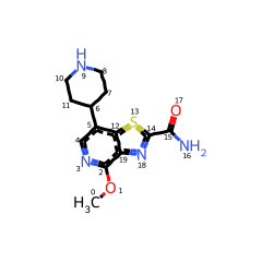 COc1ncc(C2CCNCC2)c2sc(C(N)=O)nc12